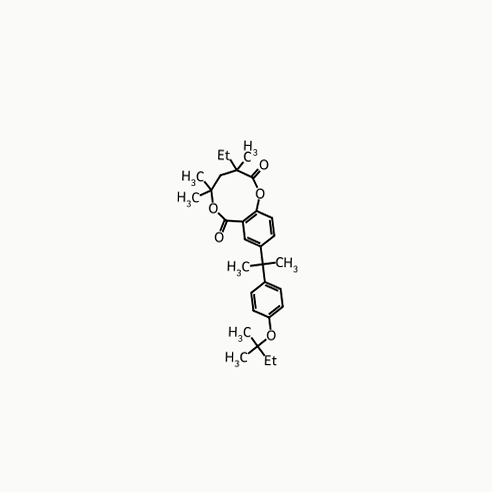 CCC(C)(C)Oc1ccc(C(C)(C)c2ccc3c(c2)C(=O)OC(C)(C)CC(C)(CC)C(=O)O3)cc1